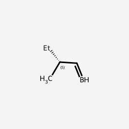 B=C[C@H](C)CC